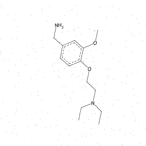 CCN(CC)CCOc1ccc(CN)cc1OC